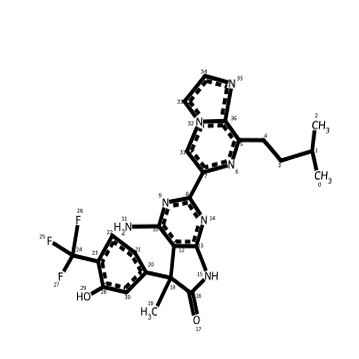 CC(C)CCc1nc(-c2nc(N)c3c(n2)NC(=O)C3(C)c2ccc(C(F)(F)F)c(O)c2)cn2ccnc12